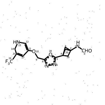 O=CNC12CC(c3nnc(COC4=CNCC(C(F)(F)F)=C4)o3)(C1)C2